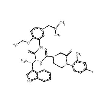 CCOc1ccc(CN(C)C)cc1NC(=O)[C@H](NC(=O)N1CCN(c2ccc(F)cc2C)C(=O)C1)[C@@H](C)c1c[nH]c2ccccc12